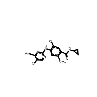 CNc1nc(Nc2cc(OC)c(C(=O)NC3CC3)cc2Cl)ncc1Cl